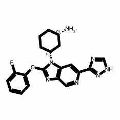 N[C@H]1CCC[C@@H](n2c(Oc3ccccc3F)nc3cnc(-c4nc[nH]n4)cc32)C1